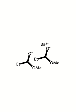 CCC([O-])OC.CCC([O-])OC.[Ba+2]